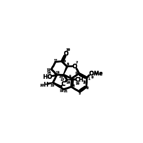 COc1ccc2c3c1OC1C(=O)CCC4(O)[C@H](CC[C@H](C)[C@]314)C2